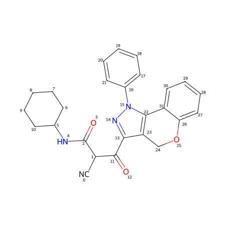 N#CC(C(=O)NC1CCCCC1)C(=O)c1nn(-c2ccccc2)c2c1COc1ccccc1-2